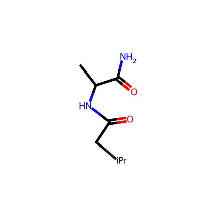 CC(C)CC(=O)NC(C)C(N)=O